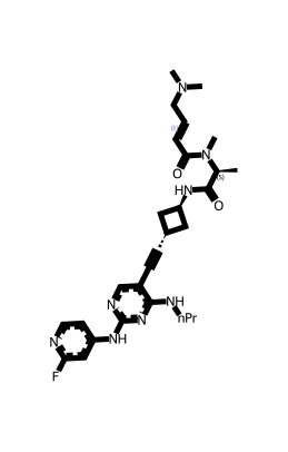 CCCNc1nc(Nc2ccnc(F)c2)ncc1C#C[C@H]1C[C@H](NC(=O)[C@H](C)N(C)C(=O)/C=C/CN(C)C)C1